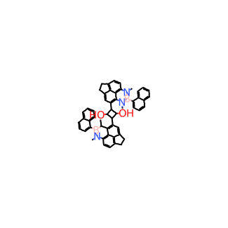 CC1B(c2cccc3ccccc23)N(C)c2ccc3c4c(cc(C5C(O)C(c6cc7c8c(ccc9c8c6N(C)B(c6cccc8ccccc68)N9C)CC7)C5O)c1c24)CC3